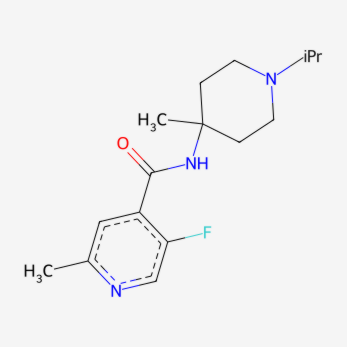 Cc1cc(C(=O)NC2(C)CCN(C(C)C)CC2)c(F)cn1